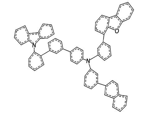 c1cc(-c2ccc(N(c3cccc(-c4ccc5ccccc5c4)c3)c3cccc(-c4cccc5c4oc4ccccc45)c3)cc2)cc(-c2ccccc2-n2c3ccccc3c3ccccc32)c1